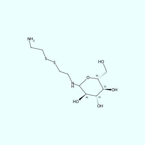 NCCSSCCNC1O[C@H](CO)[C@@H](O)[C@H](O)[C@H]1O